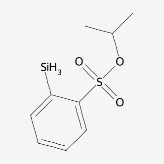 CC(C)OS(=O)(=O)c1ccccc1[SiH3]